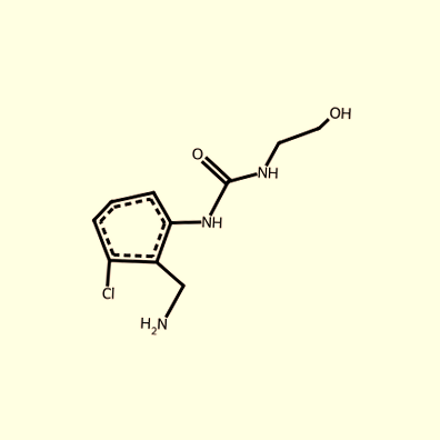 NCc1c(Cl)cccc1NC(=O)NCCO